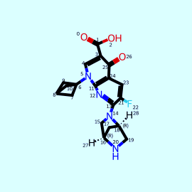 O=C(O)c1cn(C23CC(C2)C3)c2nc(N3C[C@H]4C[C@@H]3CN4)c(F)cc2c1=O